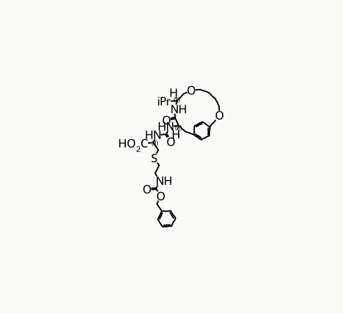 CC(C)[C@H]1COCCCCOc2ccc(cc2)C[C@@H](NC(=O)N[C@@H](CSCCNC(=O)OCc2ccccc2)C(=O)O)C(=O)N1